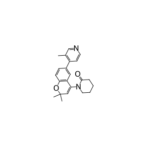 Cc1cnccc1-c1ccc2c(c1)C(N1CCCCC1=O)=CC(C)(C)O2